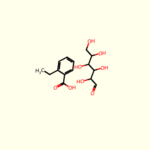 CCc1ccccc1C(=O)O.O=CC(O)C(O)C(O)C(O)CO